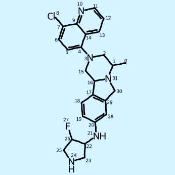 CC1CN(c2ccc(Cl)c3ncccc23)CC2c3ccc(NC4CNCC4F)cc3CN12